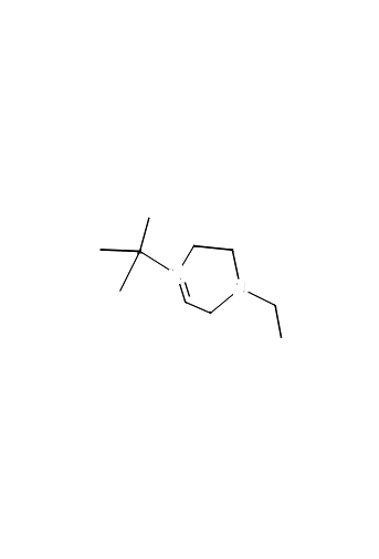 CCN1CC=[N+](C(C)(C)C)CC1